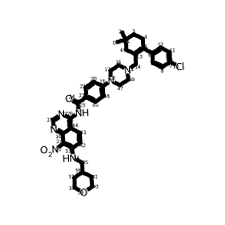 CC1(C)CCC(c2ccc(Cl)cc2)=C(CN2CCN(c3ccc(C(=O)Nc4ncnc5c([N+](=O)[O-])c(NCC6CCOCC6)ccc45)cc3)CC2)C1